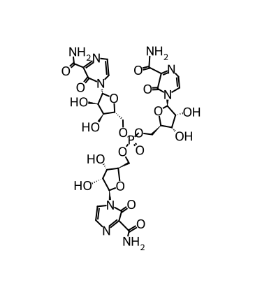 NC(=O)c1nccn([C@@H]2O[C@H](COP(=O)(OC[C@H]3O[C@@H](n4ccnc(C(N)=O)c4=O)[C@H](O)[C@@H]3O)OC[C@H]3O[C@@H](n4ccnc(C(N)=O)c4=O)[C@H](O)[C@@H]3O)[C@@H](O)[C@H]2O)c1=O